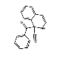 N#CC1(C(=O)c2ccccc2)NC=Cc2ccccc21